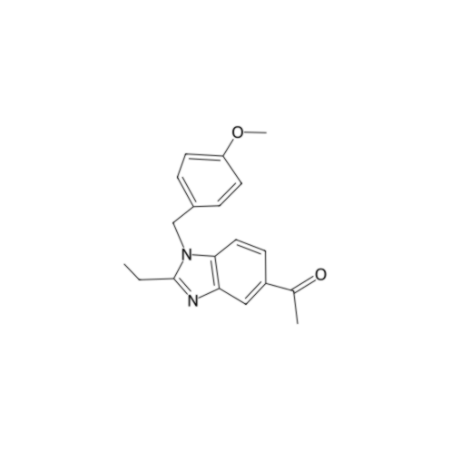 CCc1nc2cc(C(C)=O)ccc2n1Cc1ccc(OC)cc1